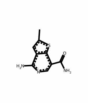 Cc1cc2c(N)ncc(C(N)=O)c2s1